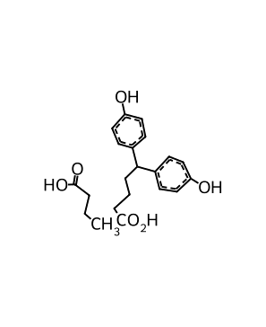 CCCC(=O)O.O=C(O)CCCC(c1ccc(O)cc1)c1ccc(O)cc1